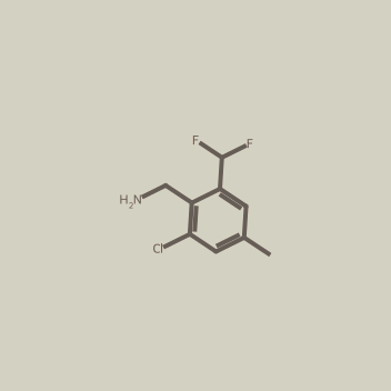 Cc1cc(Cl)c(CN)c(C(F)F)c1